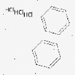 Cl.Cl.Cl.c1ccccc1.c1ccccc1